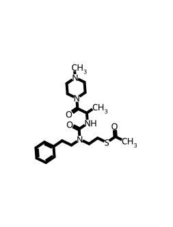 CC(=O)SCCN(CCc1ccccc1)C(=O)NC(C)C(=O)N1CCN(C)CC1